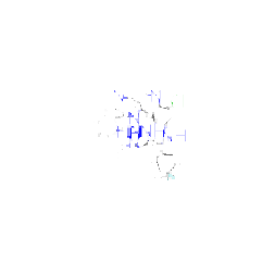 N#Cc1cnc2c(Cl)cc(NC(C3=CN(C4CC4)NN3)c3ccc(F)cc3)cc2c1NC1CC12CCCCC2